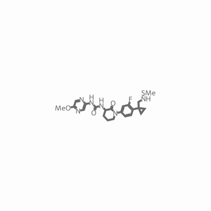 COc1cnc(NC(=O)NC2CCCN(c3ccc(C4(CNSC)CC4)c(F)c3)C2=O)cn1